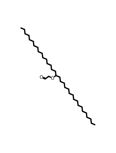 CCCCCCCCCCCCCCCCCC(CCCCCCCCCCCCCCCC)OCC=O